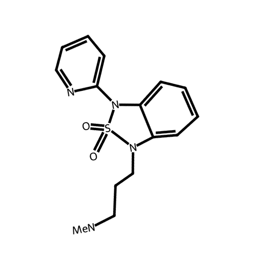 CNCCCN1c2ccccc2N(c2ccccn2)S1(=O)=O